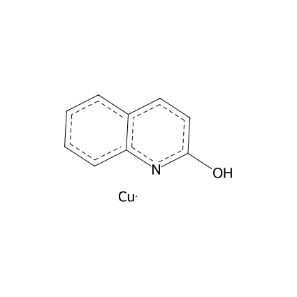 Oc1ccc2ccccc2n1.[Cu]